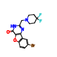 O=c1[nH]c(CN2CCC(F)(F)CC2)nc2c1oc1ccc(Br)cc12